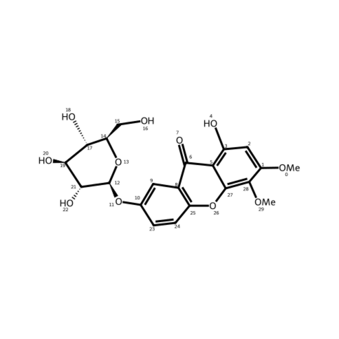 COc1cc(O)c2c(=O)c3cc(O[C@@H]4O[C@H](CO)[C@@H](O)[C@H](O)[C@H]4O)ccc3oc2c1OC